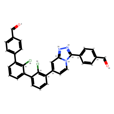 O=Cc1ccc(-c2cccc(-c3cccc(-c4ccn5c(-c6ccc(C=O)cc6)nnc5c4)c3Cl)c2Cl)cc1